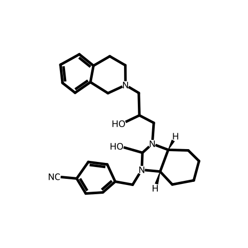 N#Cc1ccc(CN2C(O)N(CC(O)CN3CCc4ccccc4C3)[C@@H]3CCCC[C@@H]32)cc1